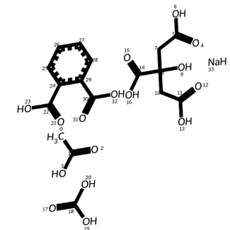 CC(=O)O.O=C(O)CC(O)(CC(=O)O)C(=O)O.O=C(O)O.O=C(O)c1ccccc1C(=O)O.[NaH]